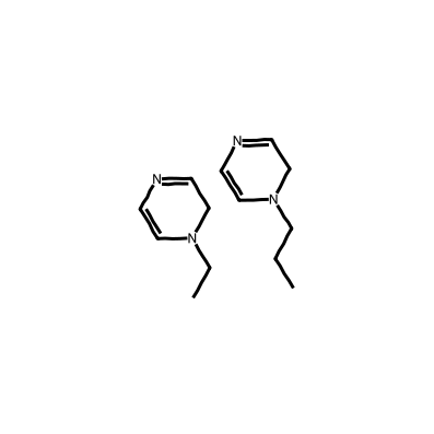 CCCN1C=CN=CC1.CCN1C=CN=CC1